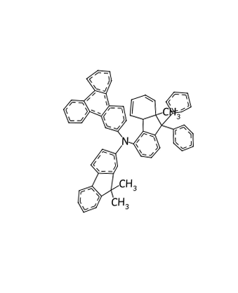 CC1(C)c2ccccc2-c2ccc(N(c3ccc4c5ccccc5c5ccccc5c4c3)c3cccc4c3C3C=CC=CC3(C)C4(c3ccccc3)c3ccccc3)cc21